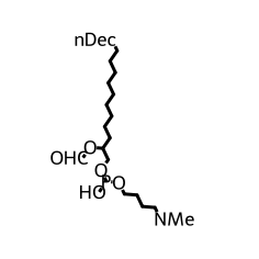 CCCCCCCCCCCCCCCCCCCC(COP(O)OCCCCNC)OC=O